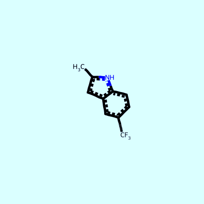 Cc1cc2cc(C(F)(F)F)ccc2[nH]1